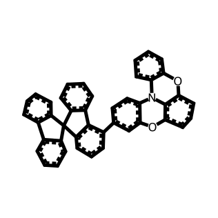 c1ccc2c(c1)Oc1cccc3c1N2c1ccc(-c2cccc4c2-c2ccccc2C42c4ccccc4-c4ccccc42)cc1O3